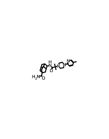 Cc1ccc(N2CCN(C(C)(C)C(=O)NC3C4CC5CC3CC(C(N)=O)(C5)C4)CC2)nc1